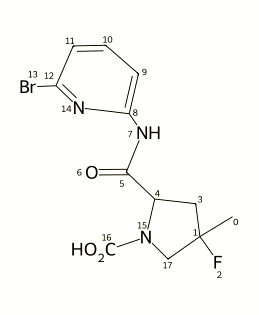 CC1(F)CC(C(=O)Nc2cccc(Br)n2)N(C(=O)O)C1